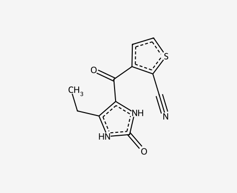 CCc1[nH]c(=O)[nH]c1C(=O)c1ccsc1C#N